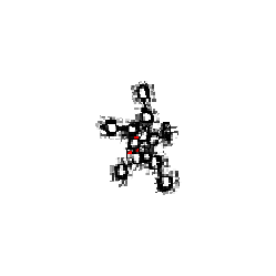 Fc1cc(F)cc(-c2c(-n3c4ccc(-c5ccccc5)cc4c4cc(-c5ccccc5)ccc43)cc(C(F)(F)F)cc2-n2c3ccc(-c4ccccc4)cc3c3cc(-c4ccccc4)ccc32)c1